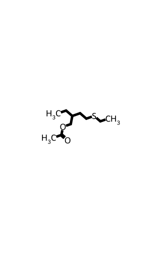 CCSCCC(CC)COC(C)=O